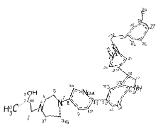 C[C@H](O)CN1CCN(c2ccc(-c3cnc4[nH]cc(-c5cnn(Cc6cccc(F)c6)c5)c4c3)nc2)CC1